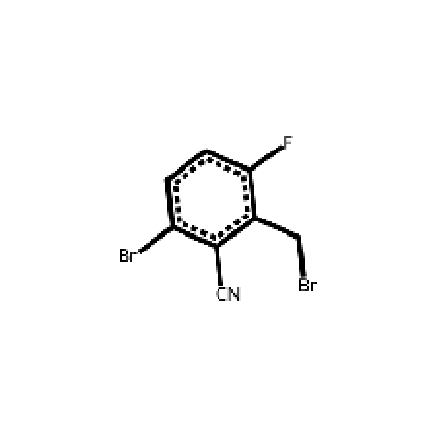 N#Cc1c(Br)ccc(F)c1CBr